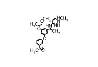 C=C(NC(=N)/C=C\NC)c1cc(Oc2cccc([S+](C)[O-])c2)cc(OC(C)COC)c1